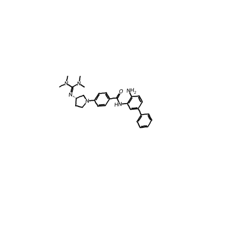 CN(C)C(=N[C@H]1CCN(c2ccc(C(=O)Nc3cc(-c4ccccc4)ccc3N)cc2)C1)N(C)C